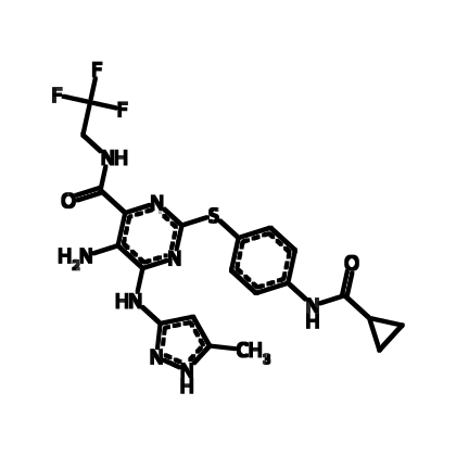 Cc1cc(Nc2nc(Sc3ccc(NC(=O)C4CC4)cc3)nc(C(=O)NCC(F)(F)F)c2N)n[nH]1